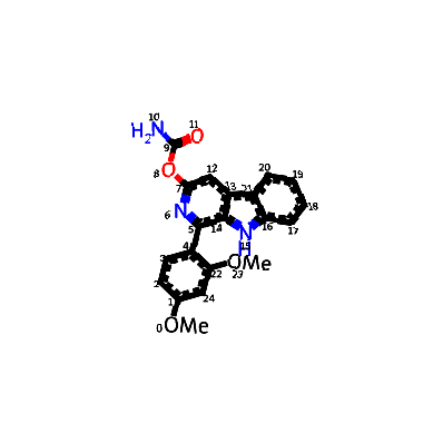 COc1ccc(-c2nc(OC(N)=O)cc3c2[nH]c2ccccc23)c(OC)c1